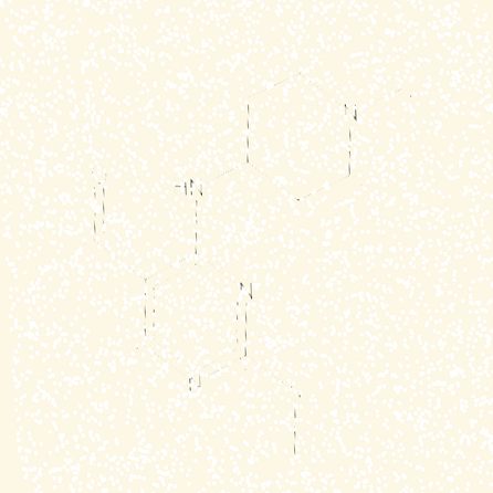 CSc1ncc(C=O)c(NC2CCN(C)CC2)n1